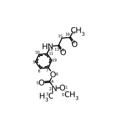 CON(C)C(=O)Oc1cccc(NC(=O)CC(C)=O)c1